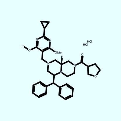 CCOc1nc(C2CC2)nc(OC)c1CN1CC(C(c2ccccc2)c2ccccc2)N2CCN(C(=O)C3CCOC3)C[C@H]2C1.Cl.Cl